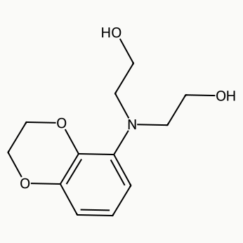 OCCN(CCO)c1cccc2c1OCCO2